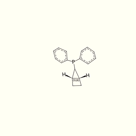 c1ccc(P(c2ccccc2)C2[C@H]3CC[C@@H]23)cc1